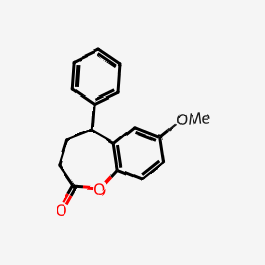 COc1ccc2c(c1)C(c1ccccc1)CCC(=O)O2